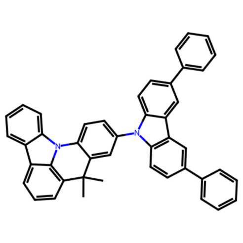 CC1(C)c2cc(-n3c4ccc(-c5ccccc5)cc4c4cc(-c5ccccc5)ccc43)ccc2-n2c3ccccc3c3cccc1c32